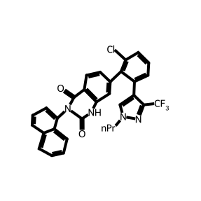 CCCn1cc(-c2cccc(Cl)c2-c2ccc3c(=O)n(-c4cccc5ccccc45)c(=O)[nH]c3c2)c(C(F)(F)F)n1